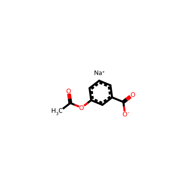 CC(=O)Oc1cccc(C(=O)[O-])c1.[Na+]